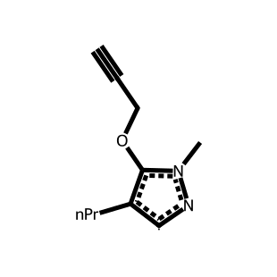 C#CCOc1c(CCC)[c]nn1C